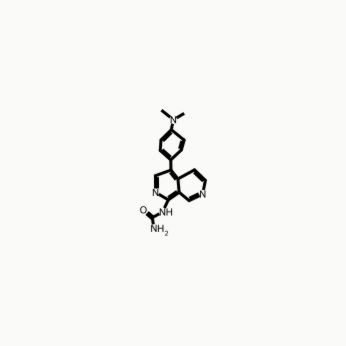 CN(C)c1ccc(-c2cnc(NC(N)=O)c3cnccc23)cc1